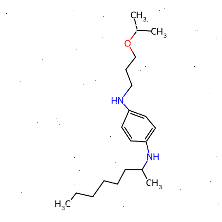 CCCCCCC(C)Nc1ccc(NCCCOC(C)C)cc1